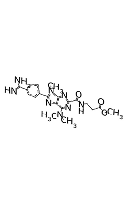 COC(=O)CCNC(=O)c1nc(N(C)C)c2nc(-c3ccc(C(=N)N)cc3)n(C)c2n1